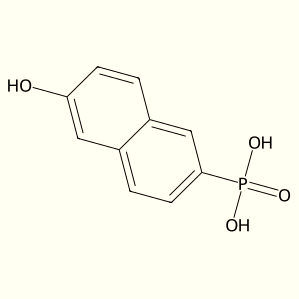 O=P(O)(O)c1ccc2cc(O)ccc2c1